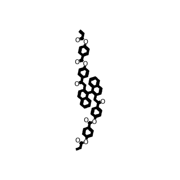 C=CC(=O)Oc1ccc(C(=O)Oc2ccc(C(=O)Cc3ccc4ccccc4c3-c3c(CC(=O)c4ccc(OC(=O)c5ccc(OC(=O)CC)cc5)cc4)ccc4ccccc34)cc2)cc1